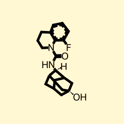 O=C(N[C@H]1C2CC3CC1C[C@](O)(C3)C2)N1CCCc2cccc(F)c21